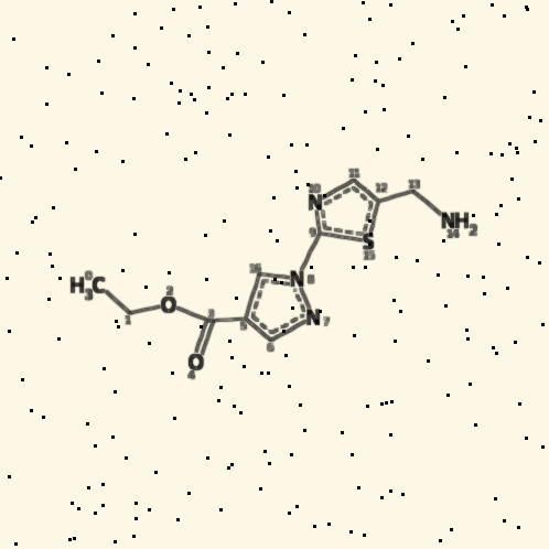 CCOC(=O)c1cnn(-c2ncc(CN)s2)c1